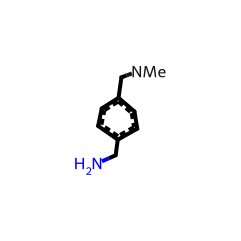 CNCc1ccc(CN)cc1